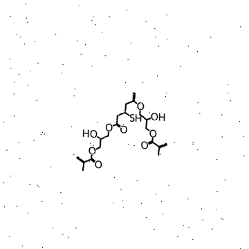 C=C(CC(S)CC(=O)OCC(O)COC(=O)C(=C)C)OCC(O)COC(=O)C(=C)C